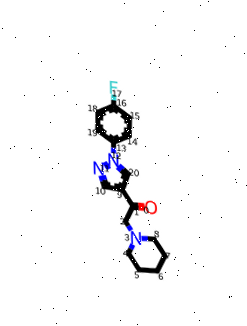 O=C(CN1CCCCC1)c1cnn(-c2ccc(F)cc2)c1